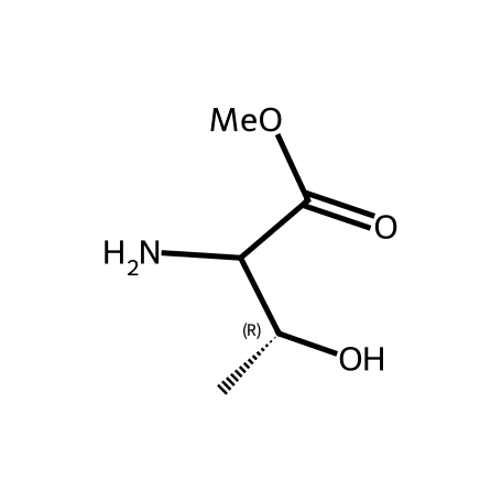 COC(=O)C(N)[C@@H](C)O